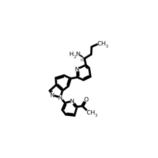 CCC[C@H](N)c1cccc(-c2ccc3cnn(-c4cccc(C(C)=O)n4)c3c2)n1